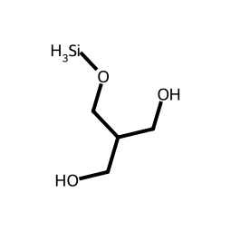 OCC(CO)CO[SiH3]